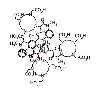 Cc1c(C(=O)N(C)c2cccc(N(C)C(=O)C(C)N3CCN(CC(=O)O)CCN(CC(=O)O)CCN(CC(=O)O)CC3)c2)c(C)c(C(=O)N(C)c2cccc(N(C)C(=O)C(C)N3CCN(CC(=O)O)CCN(CC(=O)O)CCN(CC(=O)O)CC3)c2)c(C)c1C(=O)N(C)c1cccc(N(C)C(=O)C(C)N2CCN(CC(=O)O)CCN(CC(=O)O)CCN(CC(=O)O)CC2)c1